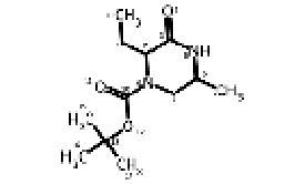 CCC1C(=O)NC(C)CN1C(=O)OC(C)(C)C